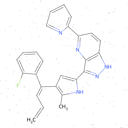 C=C/C=C(/c1ccccc1F)c1cc(-c2n[nH]c3ccc(-c4ccccn4)nc23)[nH]c1C